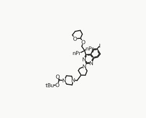 CCCC(CCC)(COC1CCCCO1)c1nc(N2CCC(CN3CCN(C(=O)OC(C)(C)C)CC3)CC2)nc2ccc(I)cc12